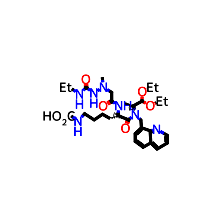 CCNC(=O)NN(C)CC(=O)N[C@@H](CCCCNC(=O)O)C(=O)N(Cc1cccc2cccnc12)[C@@H](C)C(OCC)OCC